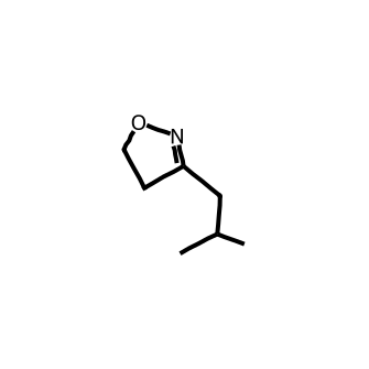 CC(C)CC1=NOCC1